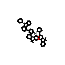 CC1(C)c2ccccc2-c2ccc(-c3ccccc3N(c3ccc(-c4cccc5c4c4ccccc4n5-c4ccccc4)cc3)c3cccc4c3-c3ccccc3C4(C)C)cc21